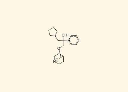 OC(COC1CN2CCC1CC2)(CC1CCCC1)c1ccccc1